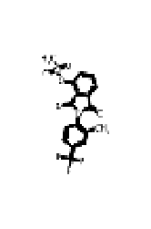 Cc1cc(C(F)(F)F)ccc1N1C(=O)c2cccc(OS(C)(=O)=O)c2C1=O